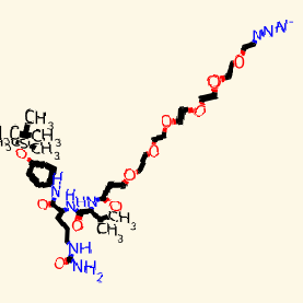 CC(C)C(NC(=O)CCOCCOCCOCCOCCOCCOCCN=[N+]=[N-])C(=O)NC(CCCNC(N)=O)C(=O)Nc1ccc(O[Si](C)(C)C(C)(C)C)cc1